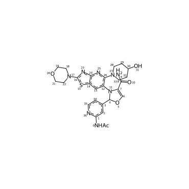 CC(=O)Nc1cc(C2OC=C(C(N)=O)N2c2cc3sc(N4CCOCC4)nc3nc2N2CCC(O)CC2)ccn1